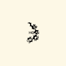 CCCc1cn(-c2cnn(-c3cc(N4CCOCC4)ncn3)c2O)nn1